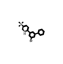 C[Si](C)(C)C1=CC=C(c2cc(Br)cc(-c3ccccc3)c2)NC1